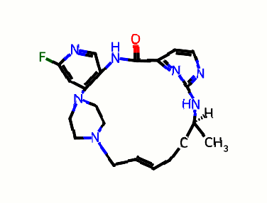 C[C@H]1CC/C=C/CN2CCN(CC2)c2cc(F)ncc2NC(=O)c2ccnc(n2)N1